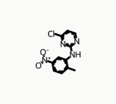 Cc1ccc([N+](=O)[O-])cc1Nc1nccc(Cl)n1